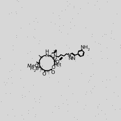 B[C@@H]1[C@@H](C)C(=O)[C@@H](C)C(=O)O[C@H](CC)[C@@](C)(OC#C)[C@H](NCCCCn2cc(-c3cccc(N)c3)nn2)[C@@H](CC=C)NC[C@H](C)C[C@@]1(C)OC